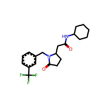 O=C(CC1CCC(=O)N1Cc1cccc(C(F)(F)F)c1)NC1CCCCC1